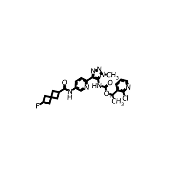 C[C@@H](OC(=O)Nc1c(-c2ccc(NC(=O)C3CC4(CC(F)C4)C3)cn2)nnn1C)c1cccnc1Cl